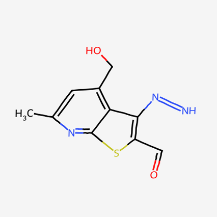 Cc1cc(CO)c2c(N=N)c(C=O)sc2n1